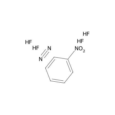 F.F.F.F.N#N.O=[N+]([O-])c1ccccc1